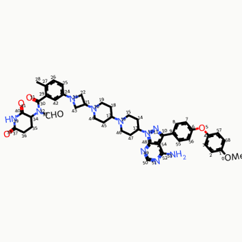 COc1ccc(Oc2ccc(-c3nn(C4CCN(C5CCN(C6CN(c7ccc(C)c(C(=O)N(C=O)C8CCC(=O)NC8=O)c7)C6)CC5)CC4)c4ncnc(N)c34)cc2)cc1